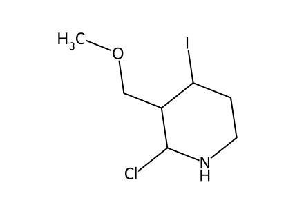 COCC1C(I)CCNC1Cl